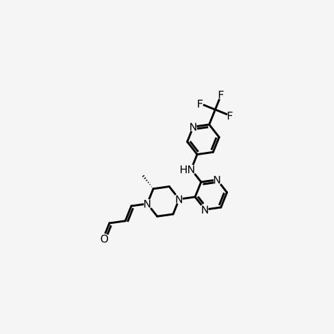 C[C@@H]1CN(c2nccnc2Nc2ccc(C(F)(F)F)nc2)CCN1C=CC=O